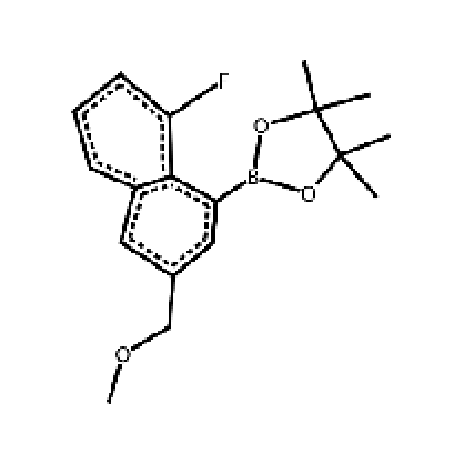 COCc1cc(B2OC(C)(C)C(C)(C)O2)c2c(F)cccc2c1